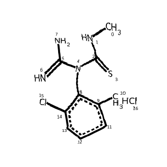 CNC(=S)N(C(=N)N)c1c(C)cccc1Cl.Cl